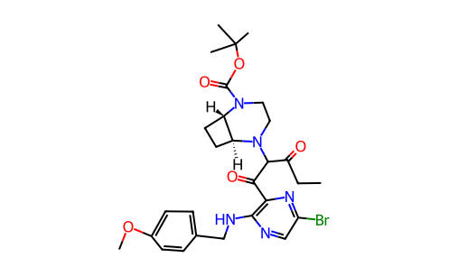 CCC(=O)C(C(=O)c1nc(Br)cnc1NCc1ccc(OC)cc1)N1CCN(C(=O)OC(C)(C)C)[C@H]2CC[C@@H]21